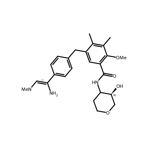 CN/C=C(\N)c1ccc(Cc2cc(C(=O)NC3CCOC[C@@H]3O)c(OC)c(C)c2C)cc1